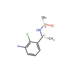 C[C@@H](N[S@@+]([O-])C(C)(C)C)c1cccc(I)c1F